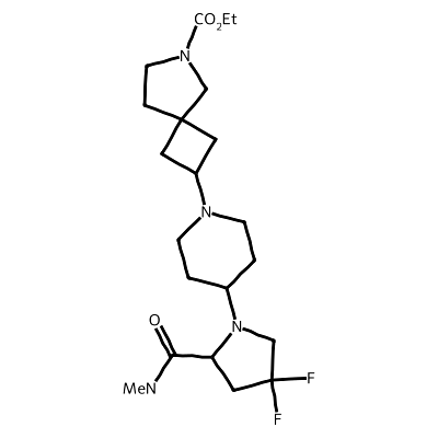 CCOC(=O)N1CCC2(CC(N3CCC(N4CC(F)(F)CC4C(=O)NC)CC3)C2)C1